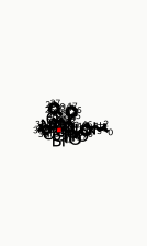 CC(C)=CC[n+]1ccc(C(=O)N2C=C(c3ccccc3)N([C@@H](Cc3ccccc3)C(=O)N(CC=O)C3=NC(C)(C)CO3)C(=O)[C@H]2C(C)C)cc1.[Br-]